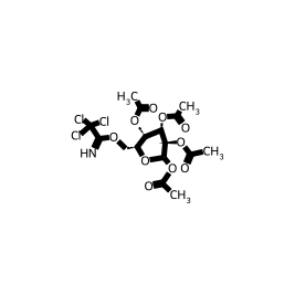 CC(=O)OC1O[C@H](COC(=N)C(Cl)(Cl)Cl)[C@H](OC(C)=O)[C@H](OC(C)=O)[C@H]1OC(C)=O